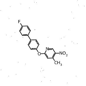 Cc1cc(Oc2ccc(-c3ccc(F)cc3)cc2)ncc1[N+](=O)[O-]